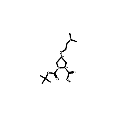 COC(=O)[C@@H]1C[C@@H](OCCN(C)C)CN1C(=O)OC(C)(C)C